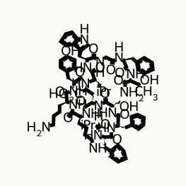 CC(C)C[C@H](NC(=O)[C@H](Cc1ccc(O)cc1)NC(=O)[C@H](CCCCN)NC(=O)[C@H](CCCCN)NC(=O)[C@H](CCC(=O)O)NC(=O)[C@H](CO)NC(=O)[C@H](Cc1ccccc1)NC(=O)[C@H](Cc1ccccc1)NC(=O)C(C)C)C(=O)N[C@@H](Cc1c[nH]c2ccccc12)C(=O)NCC(=O)N[C@@H](Cc1ccccc1)C(=O)N[C@H](C(N)=O)[C@@H](C)O